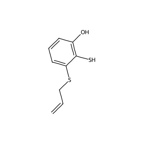 C=CCSc1cccc(O)c1S